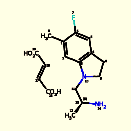 Cc1cc2c(cc1F)CCN2C[C@H](C)N.O=C(O)C=CC(=O)O